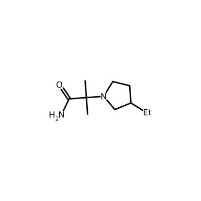 CCC1CCN(C(C)(C)C(N)=O)C1